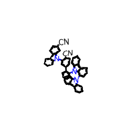 N#Cc1ccc2c3ccccc3n(-c3cc(-c4ccccc4-n4c5ccccc5c5cccc(-n6c7ccccc7c7ccccc76)c54)ccc3C#N)c2c1